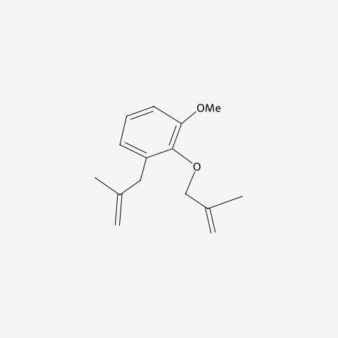 C=C(C)COc1c(CC(=C)C)cccc1OC